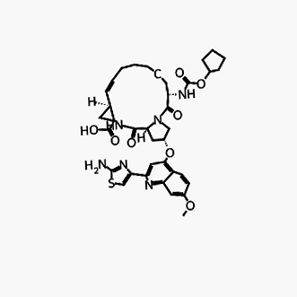 COc1ccc2c(O[C@@H]3C[C@H]4C(=O)N[C@]5(C(=O)O)C[C@H]5/C=C\CCCCC[C@H](NC(=O)OC5CCCC5)C(=O)N4C3)cc(-c3csc(N)n3)nc2c1